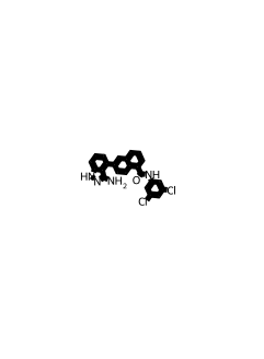 Nc1n[nH]c2cccc(-c3ccc4c(C(=O)Nc5cc(Cl)cc(Cl)c5)cccc4c3)c12